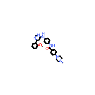 COc1ccccc1-c1cc(Nc2ccc(NC(=O)c3ccc(N4CCN(C)CC4)cc3)cc2)ncn1